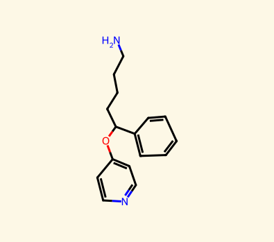 NCCCCC(Oc1ccncc1)c1ccccc1